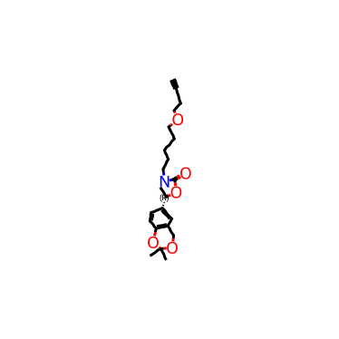 C#CCCOCCCCCN1C[C@@H](c2ccc3c(c2)COC(C)(C)O3)OC1=O